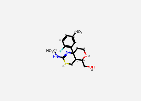 O=C(O)NC1=NC2(c3cc([N+](=O)[O-])ccc3F)CCOC(CO)C2CS1